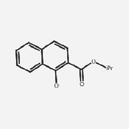 CC(C)OC(=O)c1ccc2ccccc2c1[O]